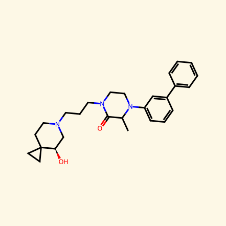 CC1C(=O)N(CCCN2CCC3(CC3)[C@H](O)C2)CCN1c1cccc(-c2ccccc2)c1